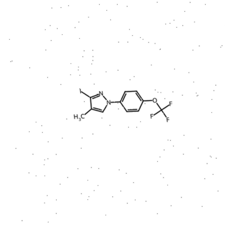 Cc1cn(-c2ccc(OC(F)(F)F)cc2)nc1I